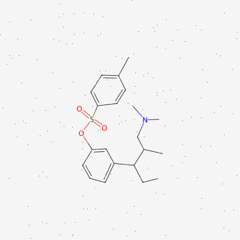 CCC(c1cccc(OS(=O)(=O)c2ccc(C)cc2)c1)C(C)CN(C)C